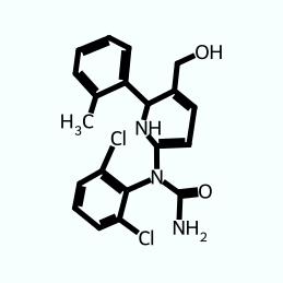 Cc1ccccc1C1NC(N(C(N)=O)c2c(Cl)cccc2Cl)=CC=C1CO